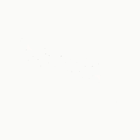 CCCCCCOc1ccc(C2CC=C(c3ccc(-c4ccc(OCC)c(F)c4F)c(F)c3F)CC2)c(F)c1F